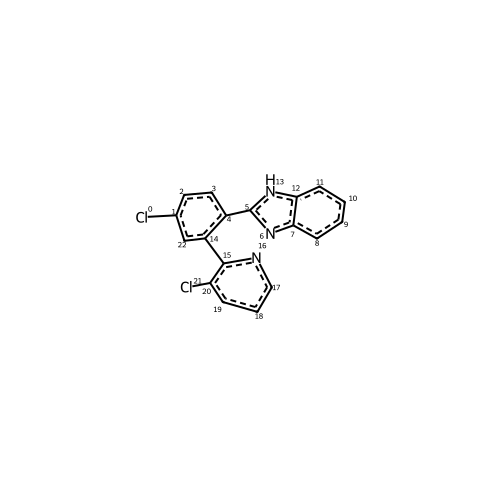 Clc1ccc(-c2nc3ccccc3[nH]2)c(-c2ncccc2Cl)c1